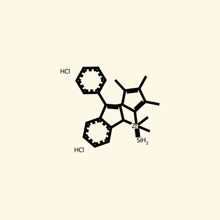 CC1=C(C)C(C)[C]([Zr]([CH3])([CH3])(=[SiH2])[CH]2C=C(c3ccccc3)c3ccccc32)=C1C.Cl.Cl